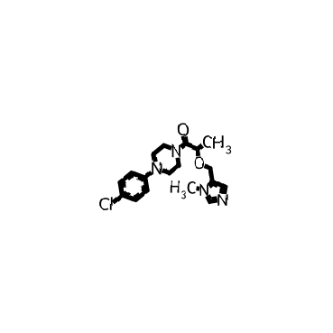 CC(OCc1cncn1C)C(=O)N1CCN(c2ccc(Cl)cc2)CC1